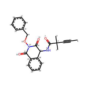 CC#CC(C)(C)C(=O)NC1C(=O)N(OCc2ccccc2)C(=O)c2ccccc21